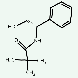 CC[C@@H](NC(=O)C(C)(C)C)c1ccccc1